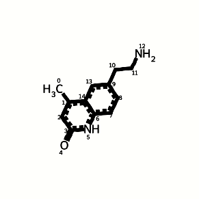 Cc1cc(=O)[nH]c2ccc(CCN)cc12